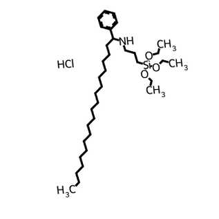 CCCCCCCCCCCCCCCCCCCC(NCCC[Si](OCC)(OCC)OCC)c1ccccc1.Cl